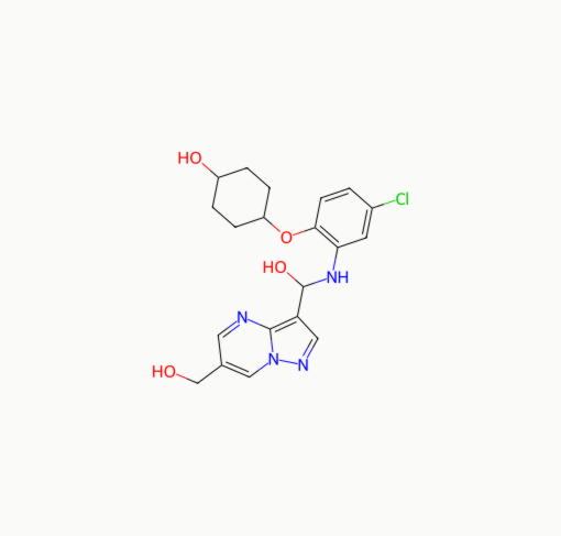 OCc1cnc2c(C(O)Nc3cc(Cl)ccc3OC3CCC(O)CC3)cnn2c1